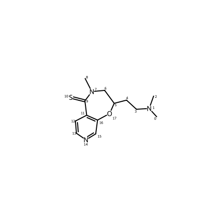 CN(C)CCC1CN(C)C(=S)c2ccncc2O1